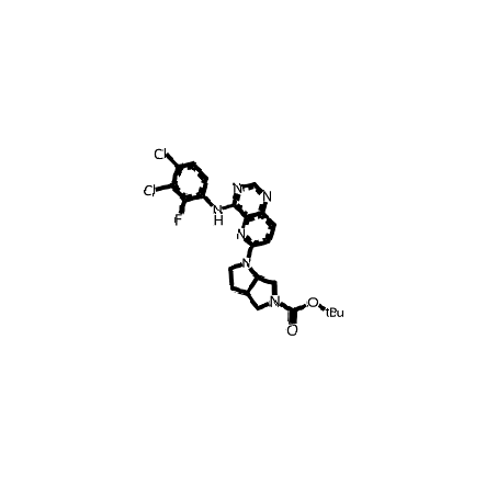 CC(C)(C)OC(=O)N1CC2CCN(c3ccc4ncnc(Nc5ccc(Cl)c(Cl)c5F)c4n3)C2C1